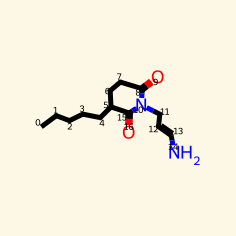 CCCCCC1CCC(=O)N(CC=CN)C1=O